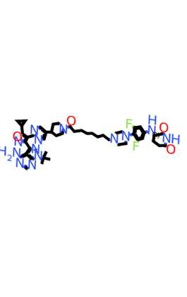 CC(C)(C)n1nc(-c2noc(C3CC3)c2-c2ncc(C3CCN(C(=O)CCCCCCCN4CCN(c5c(F)cc(N[C@@H]6CCC(=O)NC6=O)cc5F)CC4)CC3)cn2)c2c(N)ncnc21